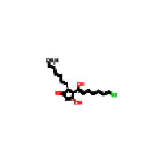 O=C(O)CCCCCC[C@H]1C(=O)C[C@@H](O)[C@@H]1C(O)=CCCCCCCl